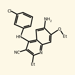 CCOc1cc2nc(CC)c(C#N)c(Nc3cccc(Cl)c3)c2cc1N